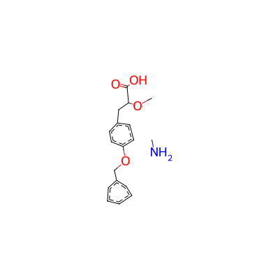 CN.COC(Cc1ccc(OCc2ccccc2)cc1)C(=O)O